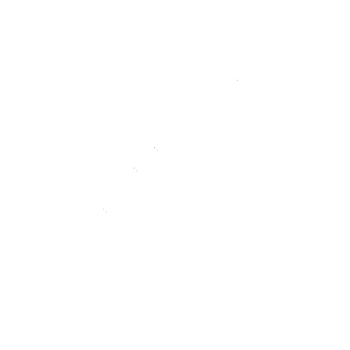 COc1ccc(OC2CCN(c3nc4c(cc3C)C(=O)N(C)C4)CC2)cn1